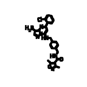 Bc1cnn2c(NCc3ccc(CNC(=O)c4c(C)noc4C)cc3)cc(-c3ccccc3Cl)nc12